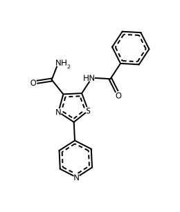 NC(=O)c1nc(-c2ccncc2)sc1NC(=O)c1ccccc1